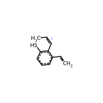 C=Cc1cccc(S)c1/C=C\C